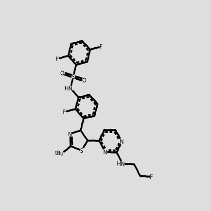 CC(C)(C)C1=NC(c2cccc(NS(=O)(=O)c3cc(F)ccc3F)c2F)C(c2ccnc(NCCF)n2)S1